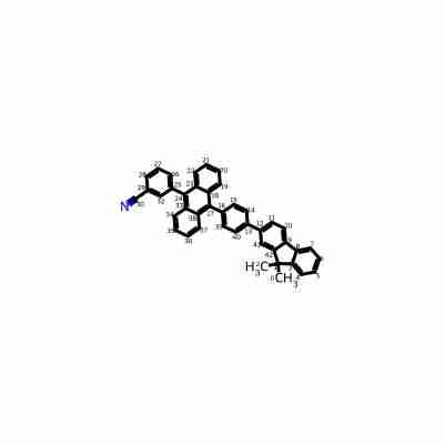 CC1(C)c2ccccc2-c2ccc(-c3ccc(-c4c5ccccc5c(-c5cccc(C#N)c5)c5ccccc45)cc3)cc21